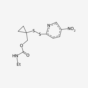 CCNC(=O)OCC1(SSc2ccc([N+](=O)[O-])cn2)CC1